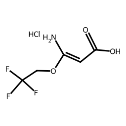 Cl.N/C(=C\C(=O)O)OCC(F)(F)F